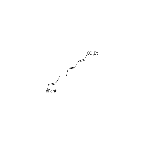 CCCCCC=CCCC=CC=CC(=O)OCC